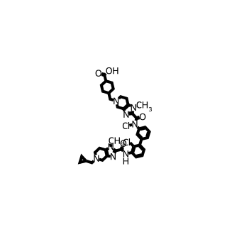 Cn1c(C(=O)Nc2cccc(-c3cccc(N(Cl)C(=O)c4nc5c(n4C)CCN(CC4CCC(C(=O)O)CC4)C5)c3)c2Cl)nc2c1CCN(CC1CC1)C2